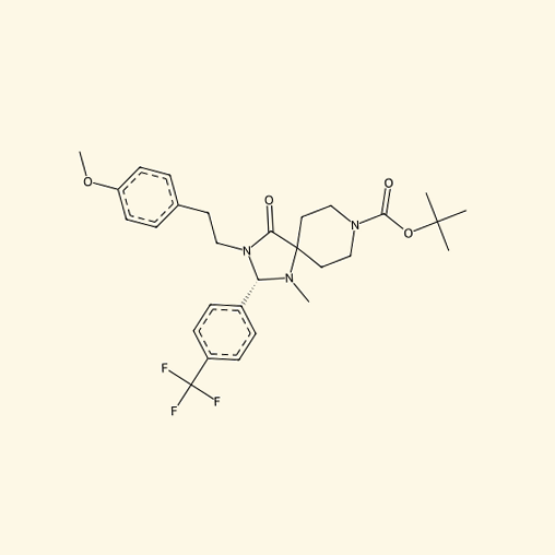 COc1ccc(CCN2C(=O)C3(CCN(C(=O)OC(C)(C)C)CC3)N(C)[C@@H]2c2ccc(C(F)(F)F)cc2)cc1